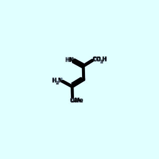 CO/C(N)=C/C(=N)C(=O)O